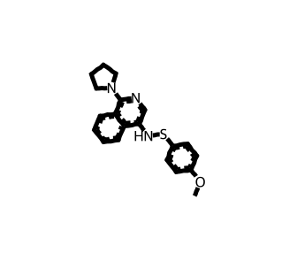 COc1ccc(SNc2cnc(N3CCCC3)c3ccccc23)cc1